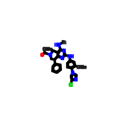 CCNc1nc(Nc2ccc(-n3cnc(Cl)c3)c(OC)c2)nc2c1CN(C(=O)OC)CC2c1ccccc1